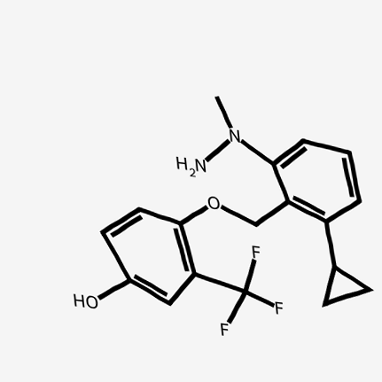 CN(N)c1cccc(C2CC2)c1COc1ccc(O)cc1C(F)(F)F